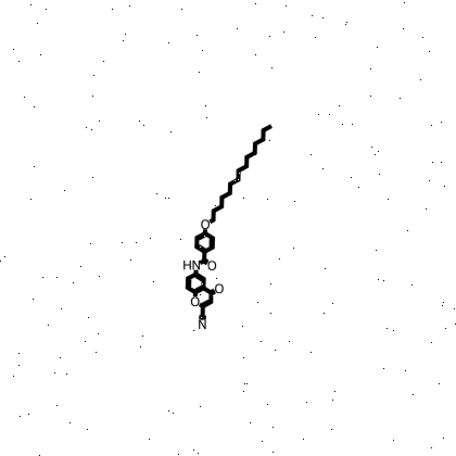 CCCCCCCCCCCCCCCOc1ccc(C(=O)Nc2ccc3oc(C#N)cc(=O)c3c2)cc1